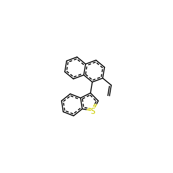 C=Cc1ccc2ccccc2c1-c1csc2ccccc12